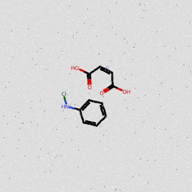 ClNc1ccccc1.O=C(O)/C=C\C(=O)O